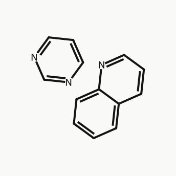 c1ccc2ncccc2c1.c1cncnc1